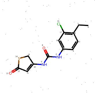 CCc1ccc(NC(=O)NC2=CC(=O)SC2)cc1Cl